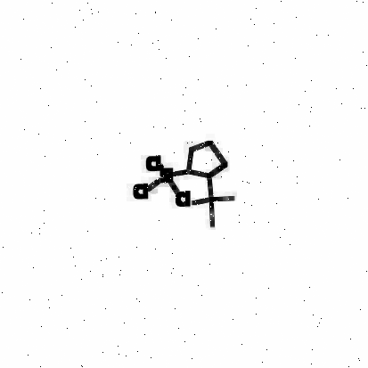 CC(C)(C)C1CCCC1[Si](Cl)(Cl)Cl